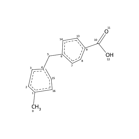 Cc1ccc(Cc2ccc(C(=O)O)cc2)cc1